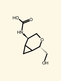 O=C(O)N[C@H]1CO[C@H](CO)C2CC21